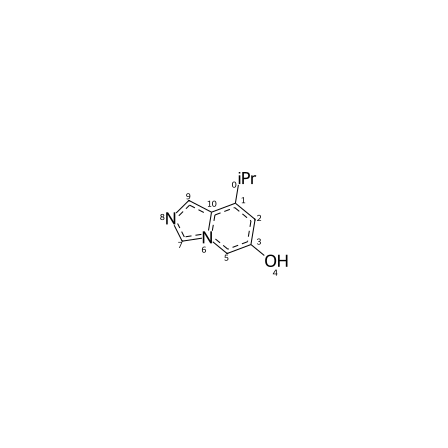 CC(C)c1cc(O)cn2cncc12